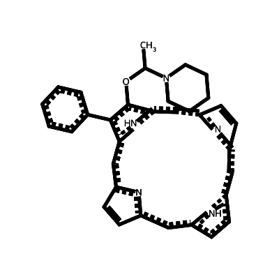 CC(Oc1c(-c2ccccc2)c2cc3nc(cc4ccc(cc5nc(cc1[nH]2)C=C5)[nH]4)C=C3)N1CCCCC1